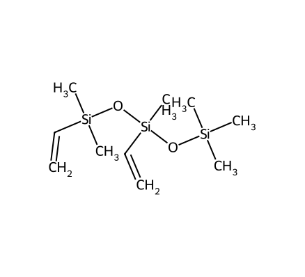 C=C[Si](C)(C)O[Si](C)(C=C)O[Si](C)(C)C